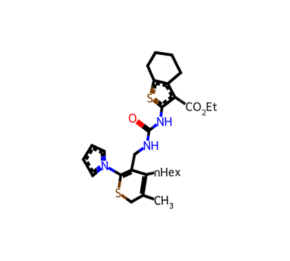 CCCCCCC1=C(C)CSC(n2cccc2)=C1CNC(=O)Nc1sc2c(c1C(=O)OCC)CCCC2